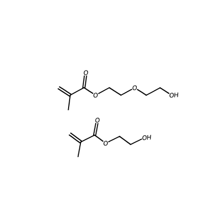 C=C(C)C(=O)OCCO.C=C(C)C(=O)OCCOCCO